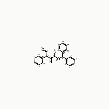 O=[C]C(NC(=O)OC(c1ccccc1)c1ccccc1)C1=CCC=CC1